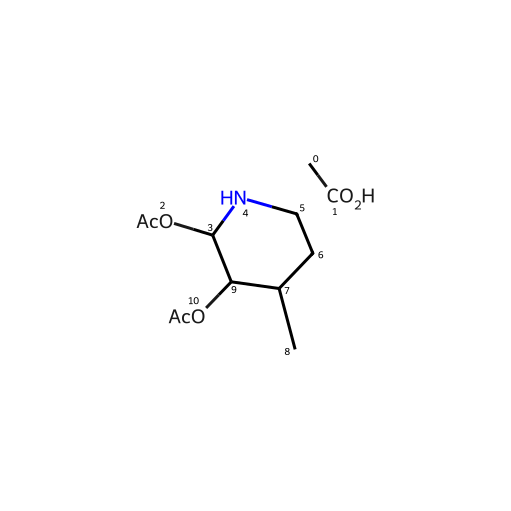 CC(=O)O.CC(=O)OC1NCCC(C)C1OC(C)=O